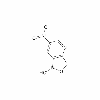 O=[N+]([O-])c1cnc2c(c1)B(O)OC2